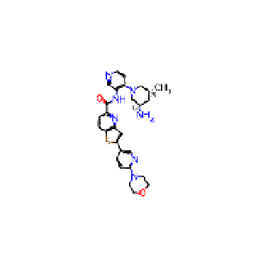 C[C@@H]1C[C@H](N)CN(c2ccncc2NC(=O)c2ccc3sc(-c4ccc(N5CCOCC5)nc4)cc3n2)C1